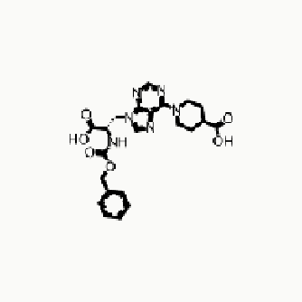 O=C(N[C@@H](Cn1cnc2c(N3CCC(C(=O)O)CC3)ncnc21)C(=O)O)OCc1ccccc1